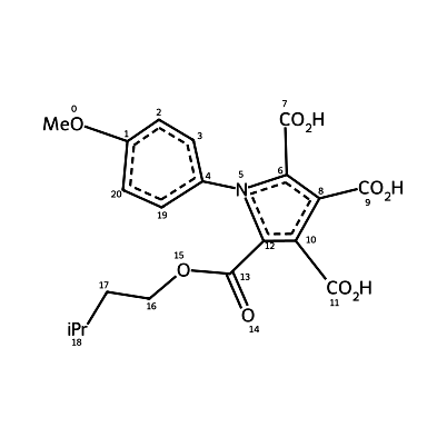 COc1ccc(-n2c(C(=O)O)c(C(=O)O)c(C(=O)O)c2C(=O)OCCC(C)C)cc1